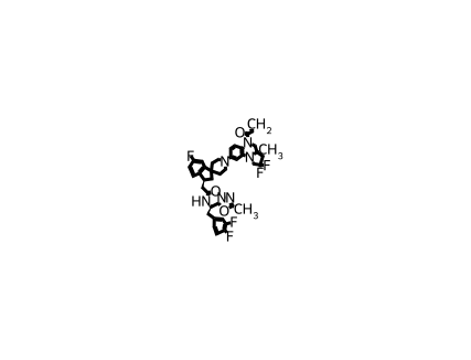 C=CC(=O)N1C[C@@]2(C)CC(F)(F)CN2c2cc(N3CCC4(CC3)C[C@@H](CC(=O)N[C@H](Cc3ccc(F)c(F)c3)c3nnc(C)o3)c3ccc(F)cc34)ccc21